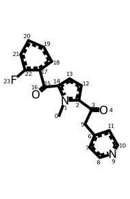 Cn1c(C(=O)Cc2ccncc2)ccc1C(=O)c1ccccc1F